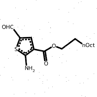 CCCCCCCCCCOC(=O)c1cc(C=O)sc1N